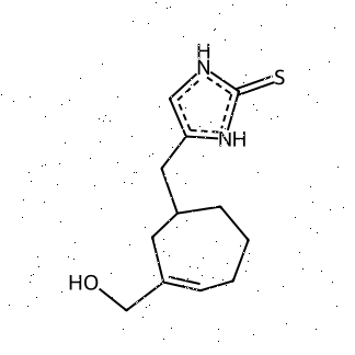 OCC1=CCCCC(Cc2c[nH]c(=S)[nH]2)C1